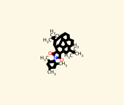 Cc1cc(C)c(-n2c(=O)c3c4cc(C(C)(C)C)c5ccc6ccc7c(C(C)(C)C)cc(c3c2=O)c2c7c6c5c42)c(C)c1